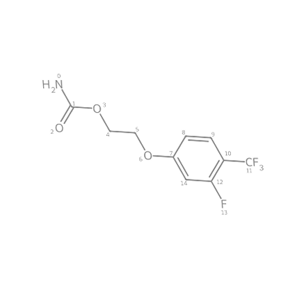 NC(=O)OCCOc1ccc(C(F)(F)F)c(F)c1